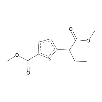 CCC(C(=O)OC)c1ccc(C(=O)OC)s1